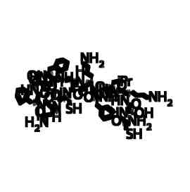 CC(C)C[C@H](NC(=O)[C@H](CCCCN)NC(=O)[C@H](Cc1ccccc1)NC(=O)[C@H](CC(C)C)NC(=O)[C@H](CCCCN)NC(=O)[C@H](CO)NC(=O)[C@@H](N)CS)C(=O)N[C@@H](CS)C(=O)N[C@@H](CC(N)=O)C(=O)N[C@@H](Cc1ccccc1)C(=O)N[C@@H](CO)C(=O)N[C@@H](Cc1ccccc1)C(N)=O